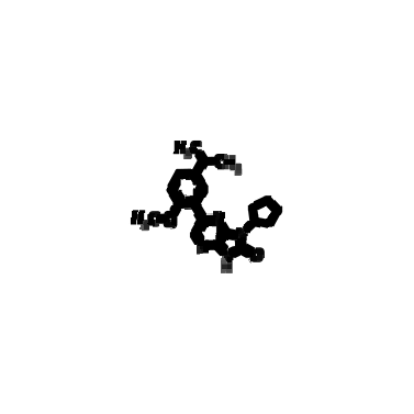 COc1ccc(C(C)C)cc1-c1cnc2[nH]c(=O)n(C3CCCC3)c2n1